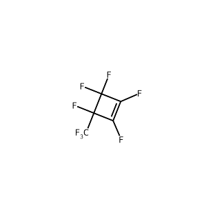 FC1=C(F)C(F)(C(F)(F)F)C1(F)F